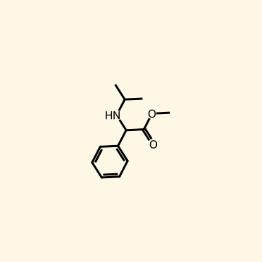 COC(=O)C(NC(C)C)c1ccccc1